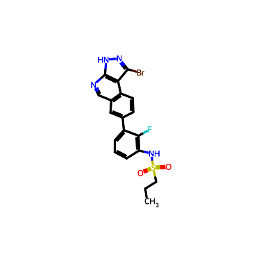 CCCS(=O)(=O)Nc1cccc(-c2ccc3c(cnc4[nH]nc(Br)c43)c2)c1F